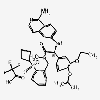 CCOc1cc([C@H](Nc2ccc3c(N)nccc3c2)C(=O)N(C)Cc2ccccc2S(=O)(=O)C2CCC2)ccc1OC(C)C.O=C(O)C(F)(F)F